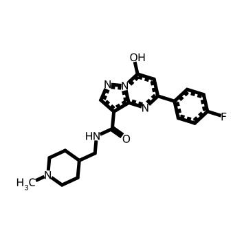 CN1CCC(CNC(=O)c2cnn3c(O)cc(-c4ccc(F)cc4)nc23)CC1